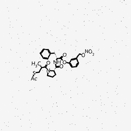 CC(=O)SC[C@@H](C)C(=O)N1CCC[C@H]1C(=O)N[C@H](Cc1ccccc1)C(=O)Oc1cccc(CO[N+](=O)[O-])c1